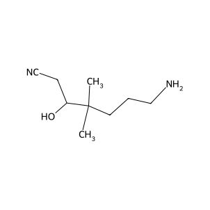 CC(C)(CCCN)C(O)CC#N